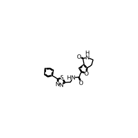 O=C(NCc1nnc(-c2ccccc2)s1)c1cc2c(o1)CCNC2=O